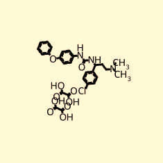 CN(C)CCC(NC(=O)Nc1ccc(Oc2ccccc2)cc1)c1ccc(Cl)cc1.O=C(O)C(=O)O.O=C(O)C(=O)O